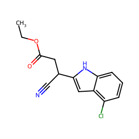 CCOC(=O)CC(C#N)c1cc2c(Cl)cccc2[nH]1